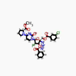 COC(=O)[C@@H]1CCCN1c1ccn(C2O[C@@](COC(=O)c3cccc(Cl)c3)(N=[N+]=[N-])C(OC(=O)c3ccccc3)[C@@H]2F)c(=O)n1